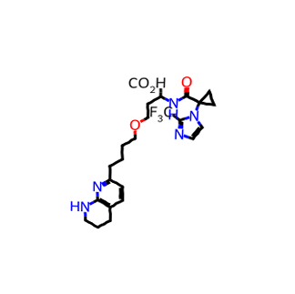 O=C(O)C(CCOCCCCc1ccc2c(n1)NCCC2)NC(=O)C1(n2ccnc2C(F)(F)F)CC1